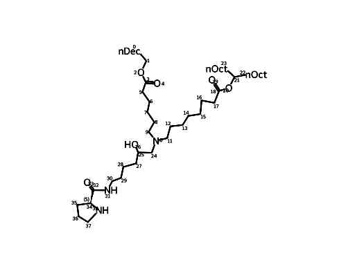 CCCCCCCCCCCOC(=O)CCCCCN(CCCCCCCC(=O)OC(CCCCCCCC)CCCCCCCC)CC(O)CCCCNC(=O)[C@@H]1CCCN1